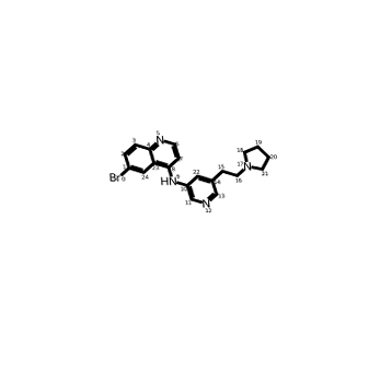 Brc1ccc2nc[c]c(Nc3cncc(CCN4CCCC4)c3)c2c1